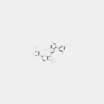 Oc1cc(F)cc(-c2cncc3[nH]c(-c4n[nH]c5ccc(-c6cn[nH]c6)nc45)cc23)c1